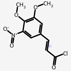 COc1cc(/C=C/C(=O)Cl)cc([N+](=O)[O-])c1OC